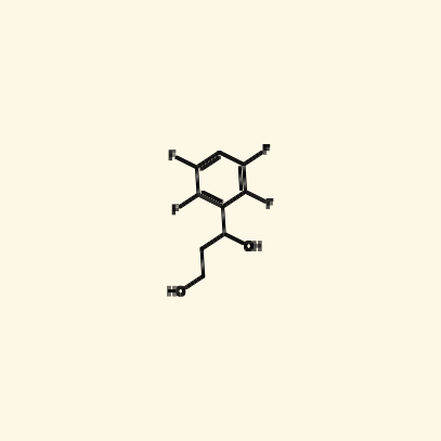 OCCC(O)c1c(F)c(F)cc(F)c1F